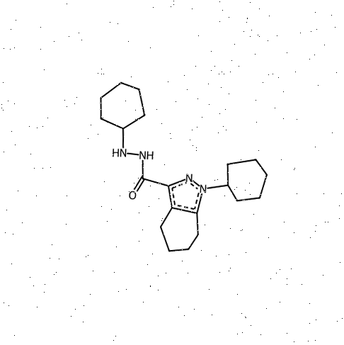 O=C(NNC1CCCCC1)c1nn(C2CCCCC2)c2c1CCCC2